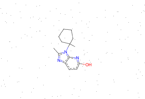 Cc1nc2ccc(O)nc2n1C1(C)CCCCC1